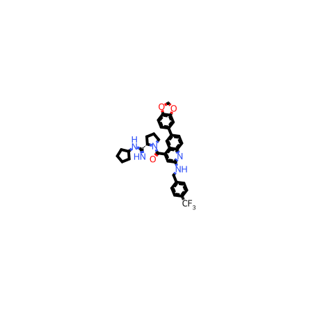 N=C(NC1CCCC1)[C@@H]1CCCN1C(=O)c1cc(NCc2ccc(C(F)(F)F)cc2)nc2ccc(-c3ccc4c(c3)OCO4)cc12